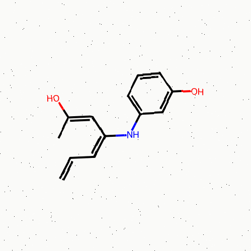 C=C/C=C(\C=C(/C)O)Nc1cccc(O)c1